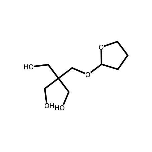 OCC(CO)(CO)COC1CCCO1